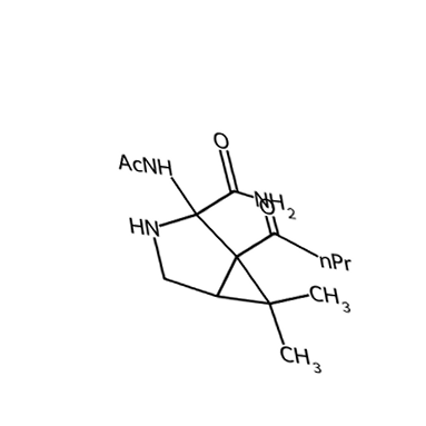 CCCC(=O)C12C(CNC1(NC(C)=O)C(N)=O)C2(C)C